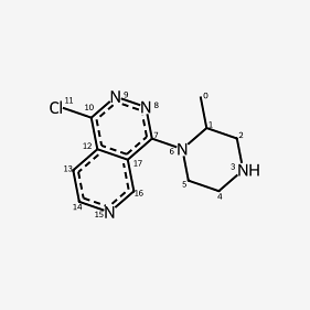 CC1CNCCN1c1nnc(Cl)c2ccncc12